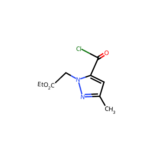 CCOC(=O)Cn1nc(C)cc1C(=O)Cl